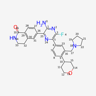 Nc1nc(F)c(-c2ccc(C3CCOCC3)c(CN3CCCC3)c2)nc1-c1ccc2c(c1)CCNC2=O